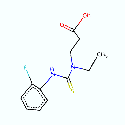 CCN(CCC(=O)O)C(=S)Nc1ccccc1F